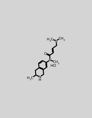 CC1Cc2ccc(N(C)C(=O)/C=C/CN(C)C)cc2CN1.Cl